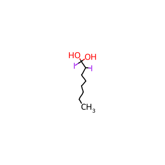 CCCCCCC(I)C(O)(O)I